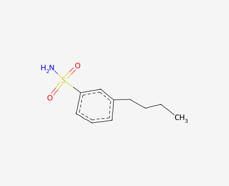 CCCCc1cccc(S(N)(=O)=O)c1